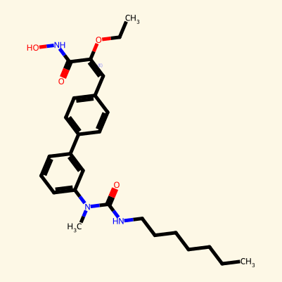 CCCCCCCNC(=O)N(C)c1cccc(-c2ccc(/C=C(/OCC)C(=O)NO)cc2)c1